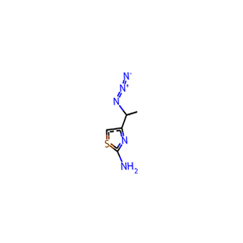 C[C](N=[N+]=[N-])c1csc(N)n1